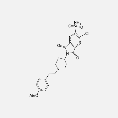 COc1ccc(CCN2CCC(N3C(=O)c4cc(Cl)c(S(N)(=O)=O)cc4C3=O)CC2)cc1